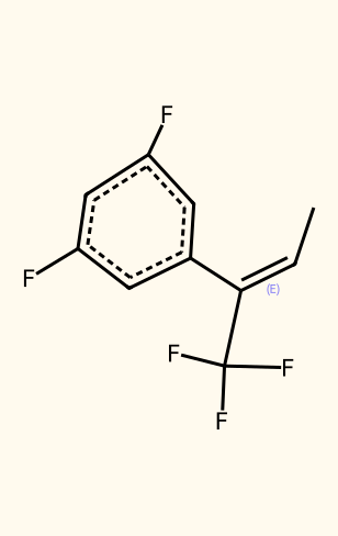 C/C=C(\c1cc(F)cc(F)c1)C(F)(F)F